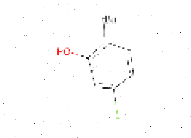 CC(C)(C)c1ccc(F)cc1O